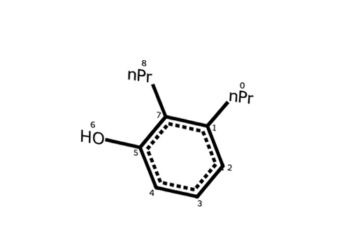 CCCc1[c]ccc(O)c1CCC